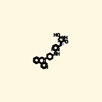 O=C1NC(O)S/C1=C\c1ccnc(N[C@H]2CC[C@H](NCc3ccccc3-c3ccncc3)CC2)n1